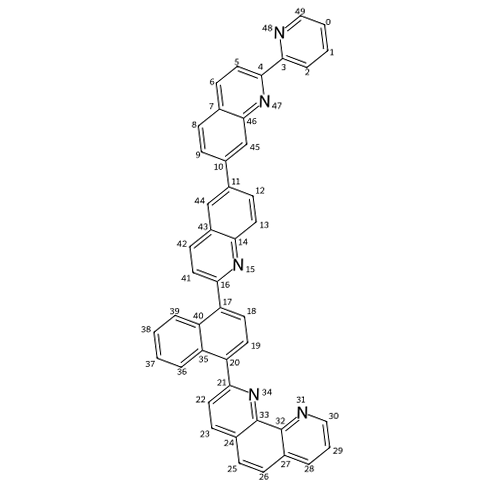 c1ccc(-c2ccc3ccc(-c4ccc5nc(-c6ccc(-c7ccc8ccc9cccnc9c8n7)c7ccccc67)ccc5c4)cc3n2)nc1